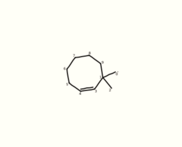 [CH2]C1(C)C=CCCCCC1